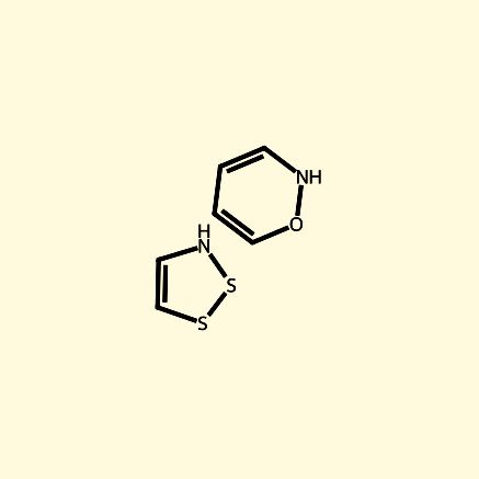 C1=CNOC=C1.C1=CSSN1